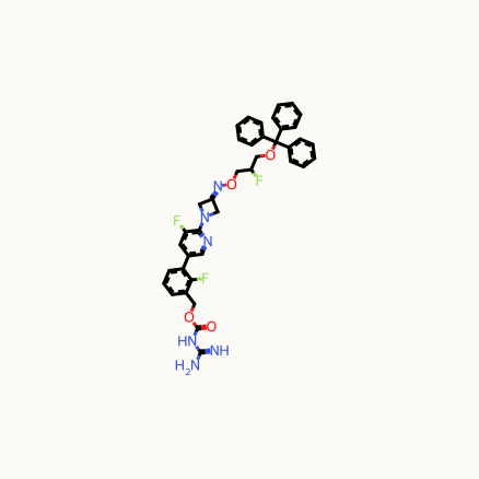 N=C(N)NC(=O)OCc1cccc(-c2cnc(N3CC(=NOCC(F)COC(c4ccccc4)(c4ccccc4)c4ccccc4)C3)c(F)c2)c1F